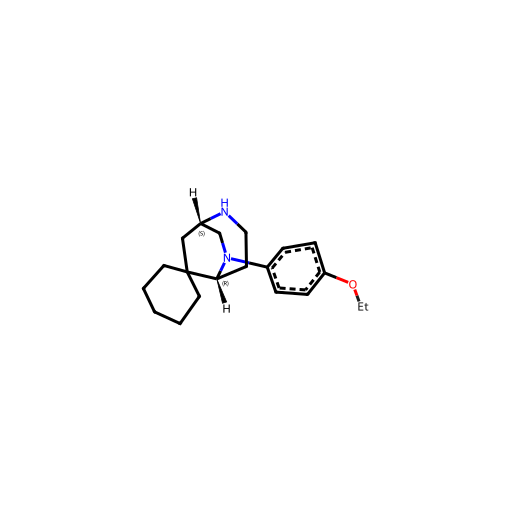 CCOc1ccc(N2C[C@@H]3CC4(CCCCC4)[C@H]2CCN3)cc1